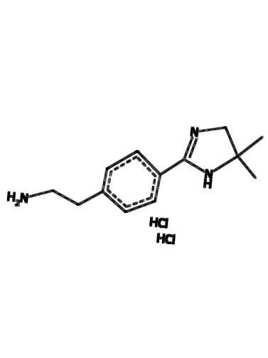 CC1(C)CN=C(c2ccc(CCN)cc2)N1.Cl.Cl